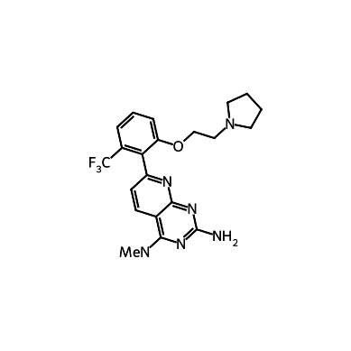 CNc1nc(N)nc2nc(-c3c(OCCN4CCCC4)cccc3C(F)(F)F)ccc12